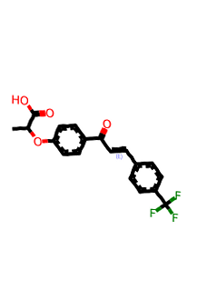 CC(Oc1ccc(C(=O)/C=C/c2ccc(C(F)(F)F)cc2)cc1)C(=O)O